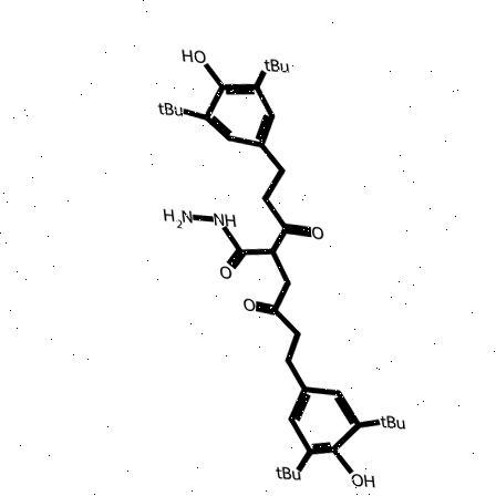 CC(C)(C)c1cc(CCC(=O)CC(C(=O)CCc2cc(C(C)(C)C)c(O)c(C(C)(C)C)c2)C(=O)NN)cc(C(C)(C)C)c1O